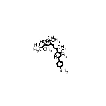 Bc1ccc(-c2cc(C)c(C(=C)C/C=C(\C=C(/C)C(C)(C)C)C(C)(C)C)cn2)cc1